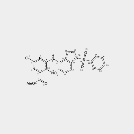 COC(=O)c1nc(Cl)nc(Nc2cccc3c2ccn3S(=O)(=O)c2ccccc2)c1[N+](=O)[O-]